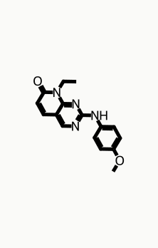 CCn1c(=O)ccc2cnc(Nc3ccc(OC)cc3)nc21